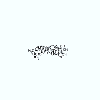 CC(=O)O[C@H]1C[C@@H]2[C@]3(CC[C@]4(C)[C@@H]([C@@]5(C)CC[C@@H](C(C)(C)O)O5)[C@@H](O)C[C@@]24C)C[C@@]32CC[C@H](O[C@@H]3O[C@H](CO)[C@@H](O)[C@H](O)[C@H]3O)C(C)(C)[C@H]12